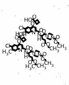 CCOC(=O)CCC(NC(=O)c1cc(OC2(C(=O)O)CCC2)c2cc(Cl)c(C)cc2n1)C(=O)N1CCN(C(=O)OCC)CC1.CCOC(=O)N1CCN(C(=O)C(CCC(=O)OC(C)C)NC(=O)c2cc(OC3(C(=O)O)CCC3)c3cc(Cl)c(C)cc3n2)CC1